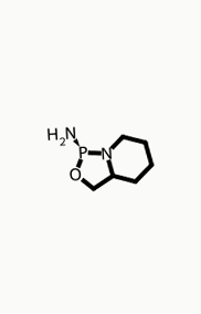 N[P@]1OCC2CCCCN21